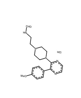 COc1ccc(-c2nccnc2N2CCN(CCNC=O)CC2)cc1.Cl